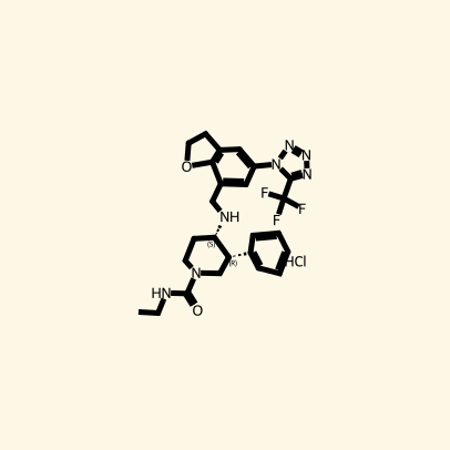 CCNC(=O)N1CC[C@H](NCc2cc(-n3nnnc3C(F)(F)F)cc3c2OCC3)[C@H](c2ccccc2)C1.Cl